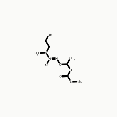 CC(ON=[N+]([O-])N(C)CCO)OC(=O)OC(C)(C)C